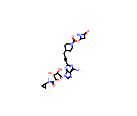 Nc1nc(C#CCC2CCN(C(=O)OC3CC(=O)N3)CC2)nc2c1ncn2[C@@H]1O[C@H](C(=O)NC2CC2)[C@H](O)C1O